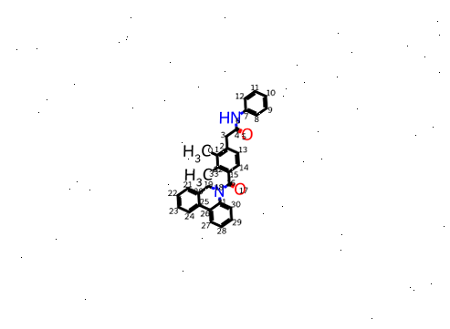 Cc1c(CC(=O)Nc2ccccc2)ccc(C(=O)N2Cc3ccccc3-c3ccccc32)c1C